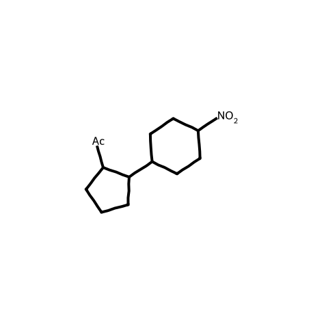 CC(=O)C1CCCC1C1CCC([N+](=O)[O-])CC1